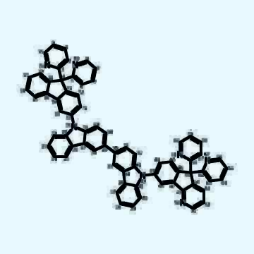 c1ccc(C2(c3ccccn3)c3ccccc3-c3cc(-n4c5ccccc5c5cc(-c6ccc7c(c6)c6ccccc6n7-c6ccc7c(c6)-c6ncccc6C7(c6ccccn6)c6ccccn6)ccc54)ccc32)nc1